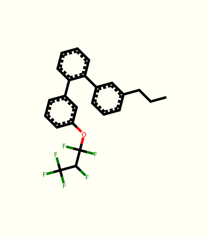 CCCc1cccc(-c2ccccc2-c2cccc(OC(F)(F)C(F)C(F)(F)F)c2)c1